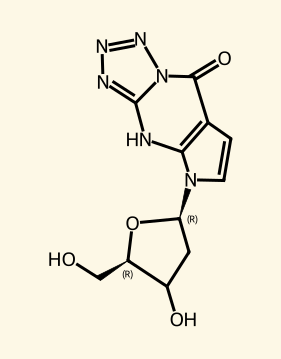 O=c1c2ccn([C@H]3CC(O)[C@@H](CO)O3)c2[nH]c2nnnn12